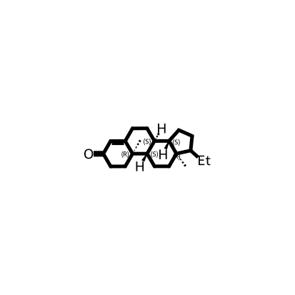 CCC1CC[C@H]2[C@@H]3CCC4=CC(=O)CC[C@]4(C)[C@H]3CC[C@]12C